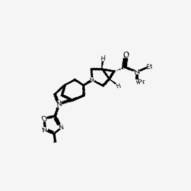 CCN(C(=O)[C@@H]1[C@@H]2CN(C3CC4CC(C3)N(c3nc(C)no3)C4)C[C@@H]21)C(C)C